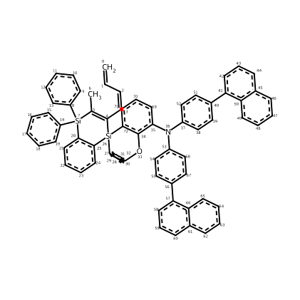 C=C/C=C\C1=C(C)[Si](c2ccccc2)(c2ccccc2)c2ccccc2[Si]12c1ccccc1Oc1c(N(c3ccc(-c4cccc5ccccc45)cc3)c3ccc(-c4cccc5ccccc45)cc3)cccc12